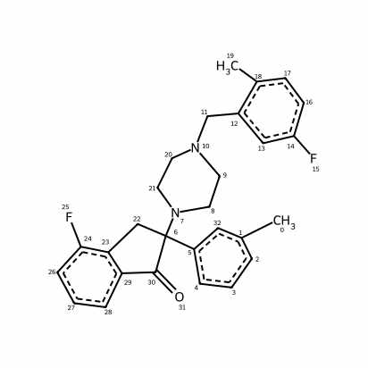 Cc1cccc(C2(N3CCN(Cc4cc(F)ccc4C)CC3)Cc3c(F)cccc3C2=O)c1